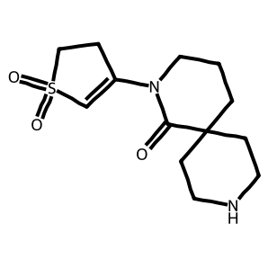 O=C1N(C2=CS(=O)(=O)CC2)CCCC12CCNCC2